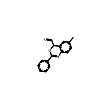 Cc1ccc2c(c1)C(C=O)OC(c1ccccc1)=N2